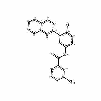 Cc1cccc(C(=O)Nc2ccc(Cl)c(-c3cnc4ccccc4n3)c2)n1